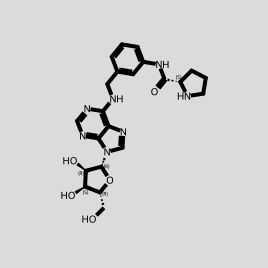 O=C(Nc1cccc(CNc2ncnc3c2ncn3[C@@H]2O[C@H](CO)[C@@H](O)[C@H]2O)c1)[C@@H]1CCCN1